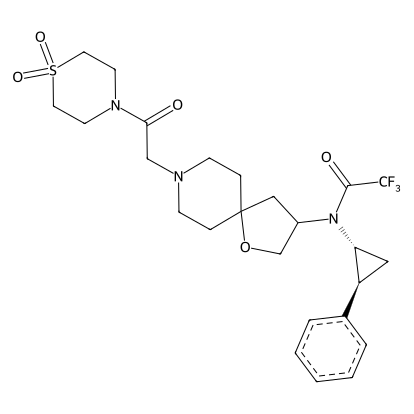 O=C(CN1CCC2(CC1)CC(N(C(=O)C(F)(F)F)[C@@H]1C[C@H]1c1ccccc1)CO2)N1CCS(=O)(=O)CC1